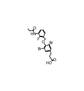 CCC(=O)Nc1cccc(COc2c(Br)cc(CCC(=O)O)cc2Br)c1F